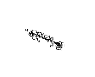 CCO[Si](CCCNC(=O)OC/C=C(C)/C=C/C=C(C)/C=C/C1=C(C)CCCC1(C)C)(OCC)OCC